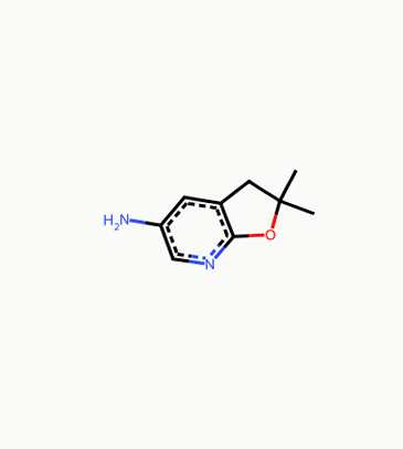 CC1(C)Cc2cc(N)cnc2O1